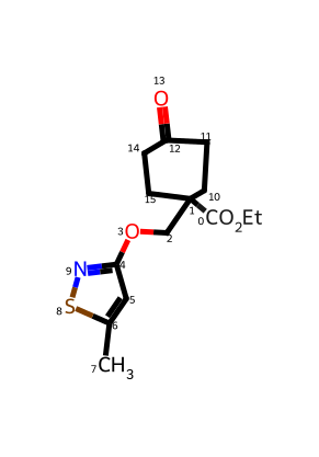 CCOC(=O)C1(COc2cc(C)sn2)CCC(=O)CC1